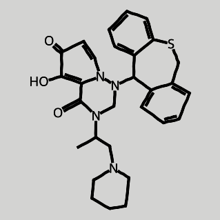 CC(CN1CCCCC1)N1CN(C2c3ccccc3CSc3ccccc32)n2ccc(=O)c(O)c2C1=O